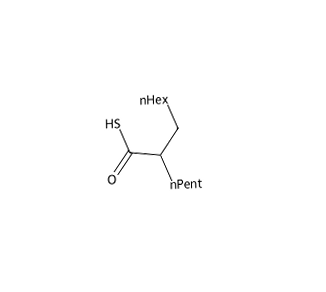 CCCCCCCC(CCCCC)C(=O)S